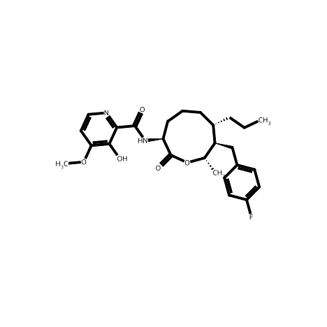 CCC[C@H]1CCC[C@H](NC(=O)c2nccc(OC)c2O)C(=O)O[C@@H](C)[C@@H]1Cc1ccc(F)cc1